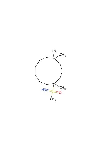 CC1(C#N)CCCCCCC(C)(S(C)(=N)=O)CCC1